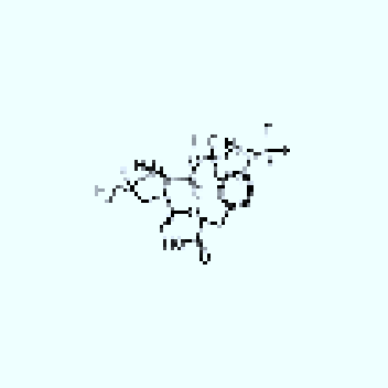 CN(C(=O)OC(C)(C)C)C(CC(C)(C)F)C(=O)OC(Cc1ccc(OC(F)(F)F)cc1)C(=O)O